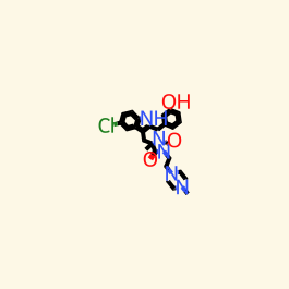 CN1CCN(CCN2C(=O)N3C(c4cccc(O)c4)c4[nH]c5ccc(Cl)cc5c4CC3(C)C2=O)CC1